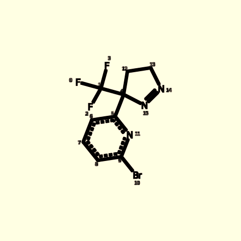 FC(F)(F)C1(c2cccc(Br)n2)CCN=N1